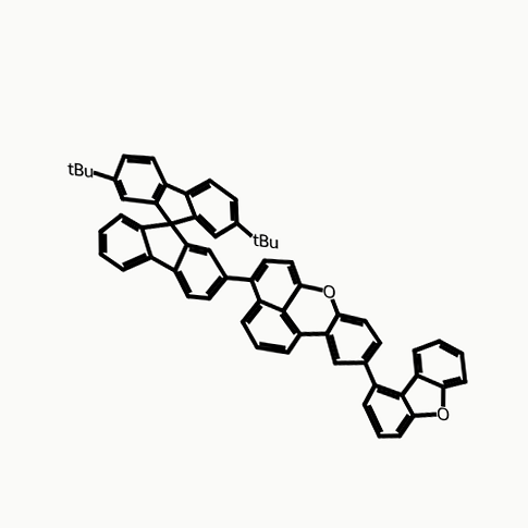 CC(C)(C)c1ccc2c(c1)C1(c3ccccc3-c3ccc(-c4ccc5c6c(cccc46)-c4cc(-c6cccc7oc8ccccc8c67)ccc4O5)cc31)c1cc(C(C)(C)C)ccc1-2